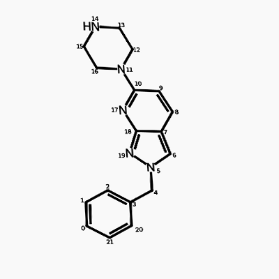 c1ccc(Cn2cc3ccc(N4CCNCC4)nc3n2)cc1